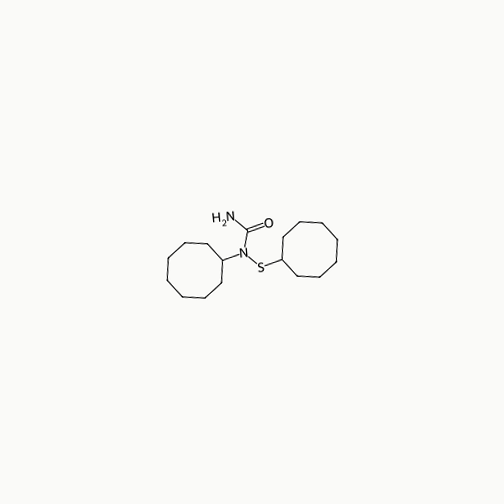 NC(=O)N(SC1CCCCCCC1)C1CCCCCCC1